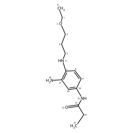 CCOCCCNc1ccc(NC(=O)CC)cc1N